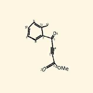 COC(=O)C#CC(=O)c1ccccc1C